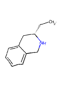 [CH2]C[C@H]1Cc2ccccc2CN1